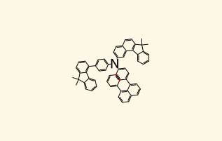 CC1(C)c2ccccc2-c2c(-c3ccc(N(c4ccc(-c5cccc6cccc(-c7ccccc7)c56)cc4)c4ccc5ccc6c(c5c4)-c4ccccc4C6(C)C)cc3)cccc21